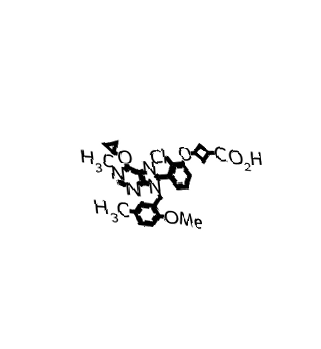 COc1ccc(C)cc1Cn1c(-c2cccc(OC3CC(C(=O)O)C3)c2Cl)nc2c(OC3(C)CC3)ncnc21